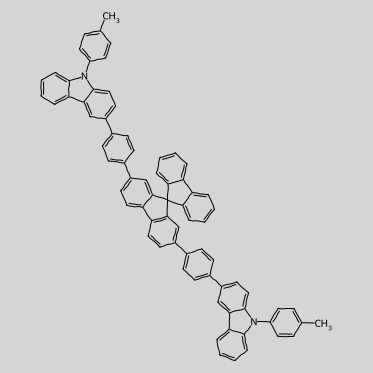 Cc1ccc(-n2c3ccccc3c3cc(-c4ccc(-c5ccc6c(c5)C5(c7ccccc7-c7ccccc75)c5cc(-c7ccc(-c8ccc9c(c8)c8ccccc8n9-c8ccc(C)cc8)cc7)ccc5-6)cc4)ccc32)cc1